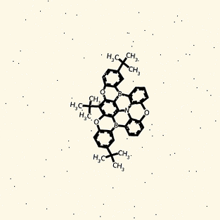 CC(C)(C)c1ccc2c(c1)B1c3cccc4c3N3c5c(cccc5B5c6cc(C(C)(C)C)ccc6Oc6c5c3c1c(c6C(C)(C)C)O2)O4